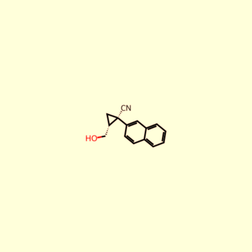 N#C[C@@]1(c2ccc3ccccc3c2)C[C@H]1CO